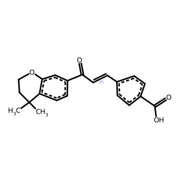 CC1(C)CCOc2cc(C(=O)/C=C/c3ccc(C(=O)O)cc3)ccc21